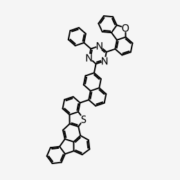 c1ccc(-c2nc(-c3ccc4c(-c5cccc6c5sc5c7cccc8c7c(cc65)-c5ccccc5-8)cccc4c3)nc(-c3cccc4oc5ccccc5c34)n2)cc1